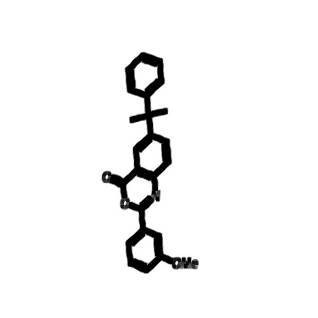 COc1cccc(-c2nc3ccc(C(C)(C)c4ccccc4)cc3c(=O)o2)c1